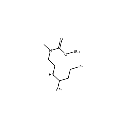 CCCC(CCC(C)C)NCCN(C)C(=O)OC(C)(C)C